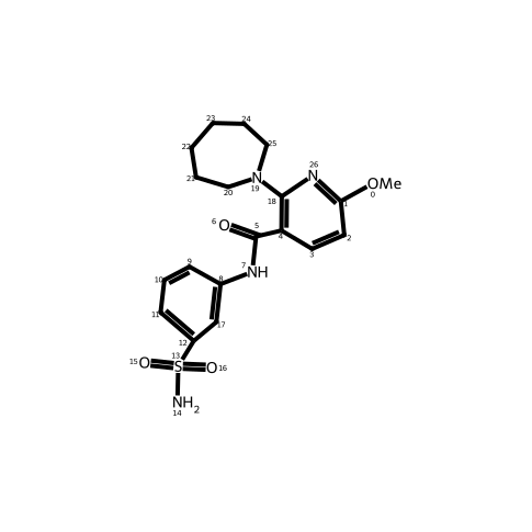 COc1ccc(C(=O)Nc2cccc(S(N)(=O)=O)c2)c(N2CCCCCC2)n1